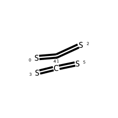 S=C=S.S=C=S